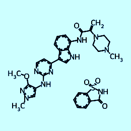 C=C(C(=O)Nc1cccc2c(-c3ccnc(Nc4cn(C)nc4OC)n3)c[nH]c12)N1CCN(C)CC1.O=C1NS(=O)(=O)c2ccccc21